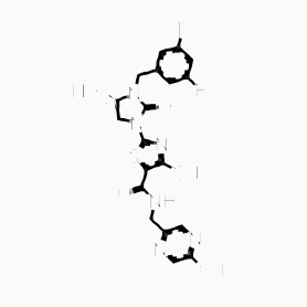 Cc1cnc(CNC(=O)c2sc(N3C[C@@H](C)N(Cc4cc(F)cc(F)c4)C3=O)nc2C)cn1